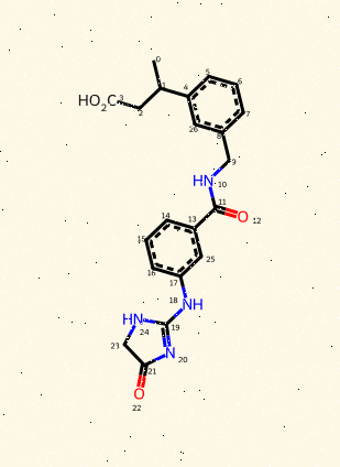 CC(CC(=O)O)c1cccc(CNC(=O)c2cccc(NC3=NC(=O)CN3)c2)c1